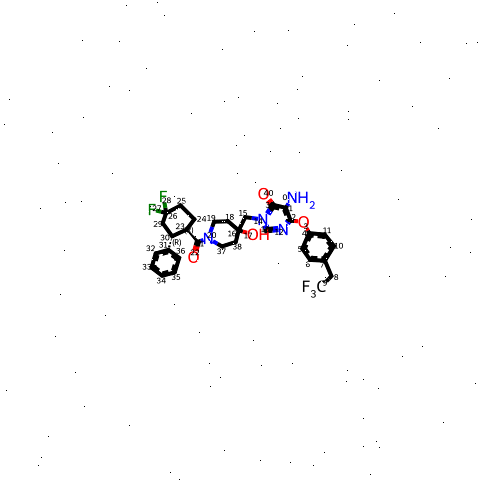 Nc1c(Oc2ccc(CC(F)(F)F)cc2)ncn(CC2(O)CCN(C(=O)[C@@H]3CCC(F)(F)C[C@H]3c3ccccc3)CC2)c1=O